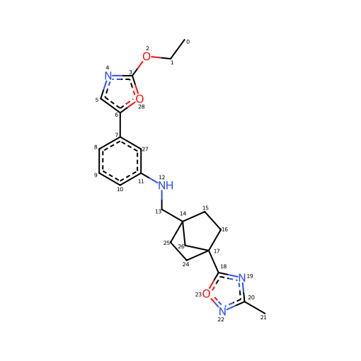 CCOc1ncc(-c2cccc(NCC34CCC(c5nc(C)no5)(CC3)C4)c2)o1